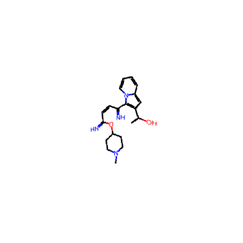 CC(O)c1cc2ccccn2c1C(=N)/C=C\C(=N)OC1CCN(C)CC1